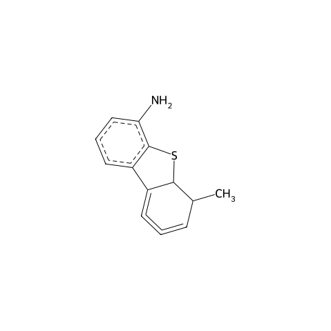 CC1C=C=C=C2c3cccc(N)c3SC21